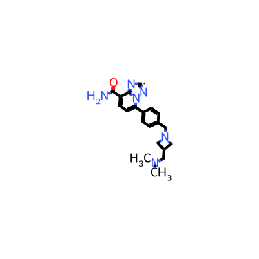 CN(C)CC1CN(Cc2ccc(-c3ccc(C(N)=O)c4n[c]nn34)cc2)C1